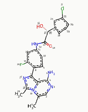 Cc1cnc(N)c2c(-c3ccc(NC(=O)[C@H](O)c4cccc(Cl)c4)cc3F)nc(C)n12